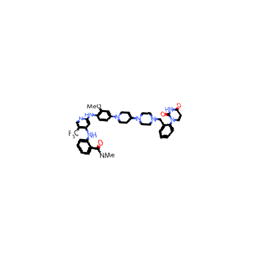 CNC(=O)c1ccccc1Nc1cc(Nc2ccc(N3CCC(N4CCN(Cc5ccccc5N5CCC(=O)NC5=O)CC4)CC3)cc2OC)ncc1C(F)(F)F